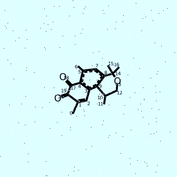 CC1=Cc2c(c(C)cc3c2C(C)COC3(C)C)C(=O)C1=O